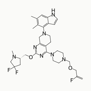 C=C(F)COCN1CCN(c2nc(OC[C@@H]3CC(F)(F)CN3C)nc3c2CCN(c2c(C)c(C)cc4[nH]ccc24)C3)CC1